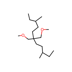 CCC(C)CCC(CCC(C)CC)(COC)COC